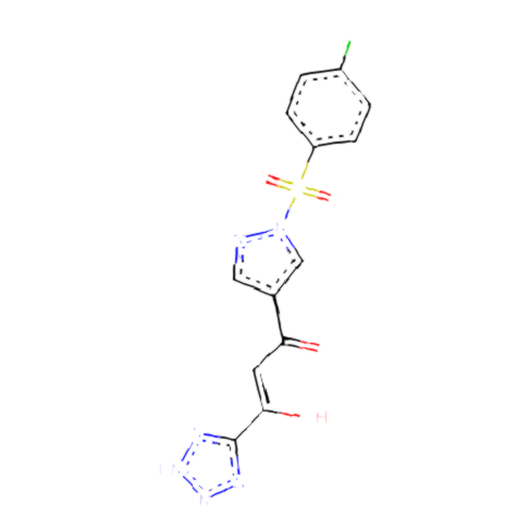 O=C(C=C(O)c1nn[nH]n1)c1cnn(S(=O)(=O)c2ccc(Cl)cc2)c1